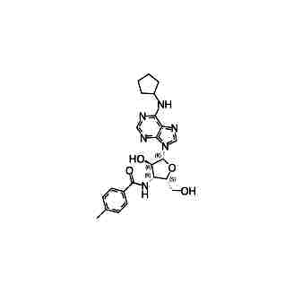 Cc1ccc(C(=O)N[C@@H]2[C@@H](O)[C@H](n3cnc4c(NC5CCCC5)ncnc43)O[C@@H]2CO)cc1